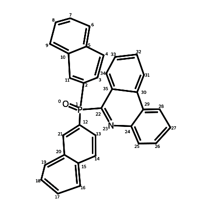 O=P(c1ccc2ccccc2c1)(c1ccc2ccccc2c1)c1nc2ccccc2c2ccccc12